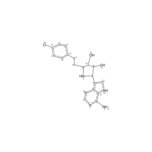 Nc1ncnc2c(C3NC(CSc4ccc(Cl)cc4)C(O)C3O)c[nH]c12